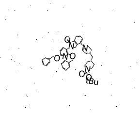 CC(C)(C)OC(=O)N1CCC(CC2CCN(c3cccc4c3CN(c3ccc(OCc5ccccc5)nc3OCc3ccccc3)C4=O)CC2)CC1